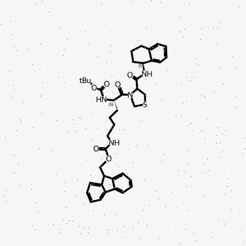 CC(C)(C)OC(=O)N[C@@H](CCCCNC(=O)OCC1c2ccccc2-c2ccccc21)C(=O)N1CSCC1C(=O)N[C@H]1CCCc2ccccc21